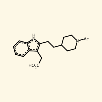 CC(=O)N1CCC(CCc2[nH]c3ccccc3c2CC(=O)O)CC1